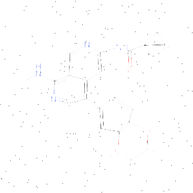 CNc1ncc(-c2ccc3c(c2)OCCO3)c2cc(NC(=O)C3CC3)ncc12